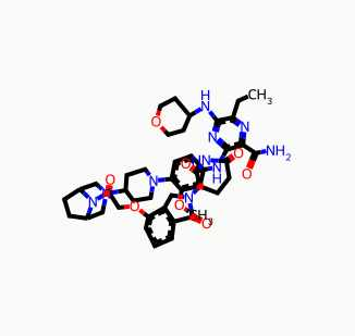 CCc1nc(C(N)=O)c(Nc2ccc(N3CCC(N4CC5CCC(C4)N5C(=O)COc4cccc5c4CN(C4CCC(=O)NC4=O)C5=O)CC3)c(OC)c2)nc1NC1CCOCC1